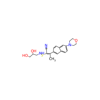 C/C(=C(/C#N)SNCC(O)CO)c1ccc2cc(N3CCOCC3)ccc2c1